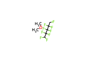 COC.FCC(F)(F)C(F)(F)C(F)(F)C(F)F